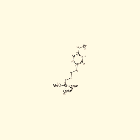 CO[Si](CCCCc1ccc(CBr)cc1)(OC)OC